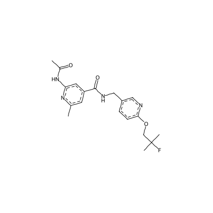 CC(=O)Nc1cc(C(=O)NCc2ccc(OCC(C)(C)F)nc2)cc(C)n1